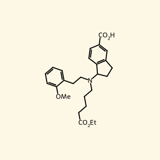 CCOC(=O)CCCCN(CCc1ccccc1OC)C1CCc2cc(C(=O)O)ccc21